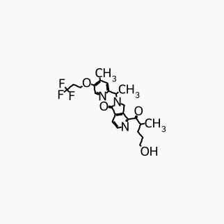 Cc1cc(C(C)N2Cc3c(ccnc3C(=O)C(C)CCCO)C2=O)ncc1OCCC(F)(F)F